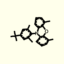 Cc1cccc2c1Oc1c(C)cccc1N2c1c(C)cc(C(C)(C)C)cc1C